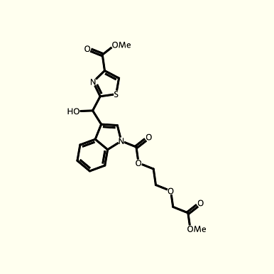 COC(=O)COCCOC(=O)n1cc(C(O)c2nc(C(=O)OC)cs2)c2ccccc21